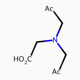 CC(=O)CN(CC(C)=O)CC(=O)O